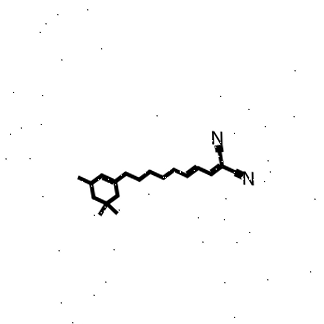 CC1C=C(CCCCCC=CC=C(C#N)C#N)CC(C)(C)C1